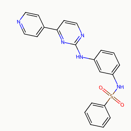 O=S(=O)(Nc1cccc(Nc2nccc(-c3ccncc3)n2)c1)c1ccccc1